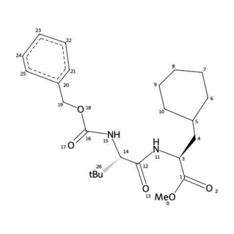 COC(=O)[C@H](CC1CCCCC1)NC(=O)[C@@H](NC(=O)OCc1ccccc1)C(C)(C)C